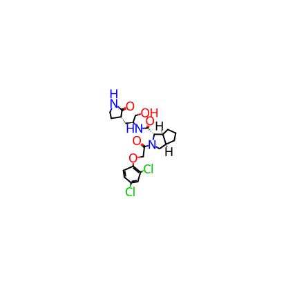 O=C1NCC[C@H]1C[C@@H](CO)NC(=O)[C@@H]1[C@H]2CCC[C@H]2CN1C(=O)COc1ccc(Cl)cc1Cl